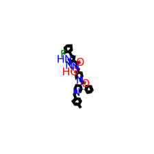 Cc1ccc(CN2CC[C@@H](C(=O)N3CCC(O)(Cn4cnc5[nH]c(-c6ccccc6F)cc5c4=O)CC3)[C@H](c3ccccc3)C2)cc1